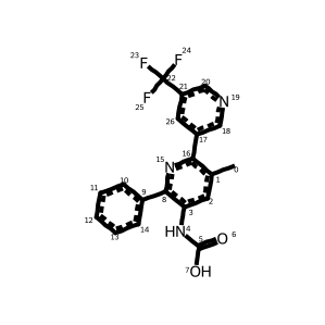 Cc1cc(NC(=O)O)c(-c2ccccc2)nc1-c1cncc(C(F)(F)F)c1